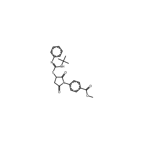 COC(=O)c1ccc(N2C(=O)CC(S/C(=N/c3ccccc3)NC(C)(C)C)C2=O)cc1